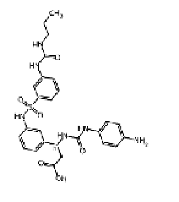 CCCNC(=O)Nc1cccc(S(=O)(=O)Nc2cccc([C@H](CC(=O)O)NC(=O)Nc3ccc(N)cc3)c2)c1